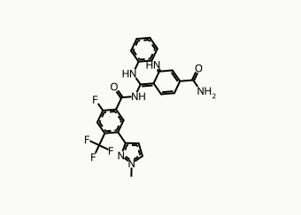 Cn1ccc(-c2cc(C(=O)N/C(Nc3ccccc3)=C3\C=CC(C(N)=O)=CC3=N)c(F)cc2C(F)(F)F)n1